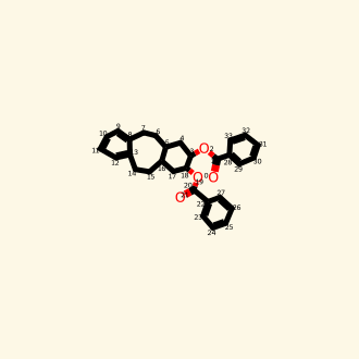 O=C(OC1CC2CCc3ccccc3CCC2CC1OC(=O)c1ccccc1)c1ccccc1